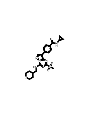 CS(=O)(=O)c1nc(NCC2CCOCC2)n2ncc(-c3ccc(C(=O)NC4CC4)cc3)c2n1